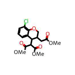 COC(=O)CC1COc2c(Cl)cccc2C1C(C(=O)OC)C(=O)OC